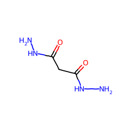 NNC(=O)CC(=O)NN